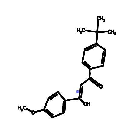 COc1ccc(/C(O)=C/C(=O)c2ccc(C(C)(C)C)cc2)cc1